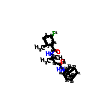 Cc1ccc(F)cc1C(=O)NC(C)(C)CC(=O)NC12CC3CC(CC(C3)C1)C2